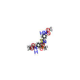 CC(C)OC(=O)Nc1ccc(-c2ncc(-c3ccc(NC(=O)OC(C)(C)C)cc3S(=O)(=O)C3CC3)s2)cc1